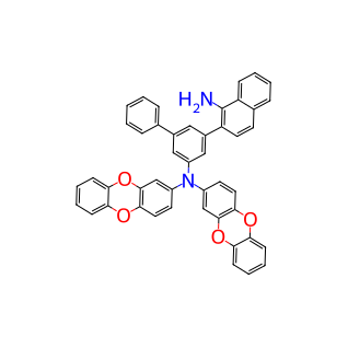 Nc1c(-c2cc(-c3ccccc3)cc(N(c3ccc4c(c3)Oc3ccccc3O4)c3ccc4c(c3)Oc3ccccc3O4)c2)ccc2ccccc12